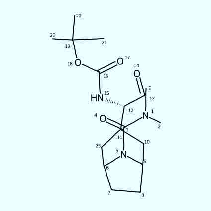 CN(C)C(=O)N1C2CCC1CC([C@@H](C=O)NC(=O)OC(C)(C)C)C2